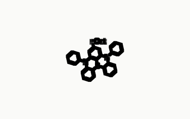 CCCCCCCCc1cc2c3c(c1)N(c1ccccc1)c1ccccc1B3c1ccccc1N2c1ccccc1